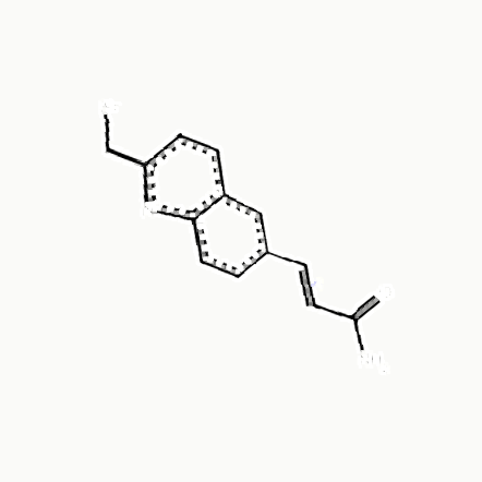 CC(C)Cc1ccc2cc(/C=C/C(N)=O)ccc2n1